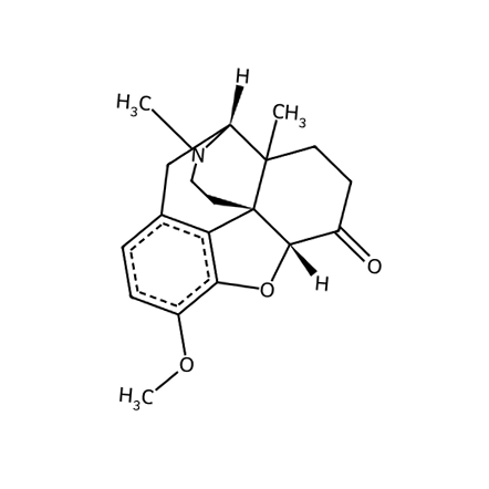 COc1ccc2c3c1O[C@H]1C(=O)CCC4(C)[C@@H](C2)N(C)CC[C@]314